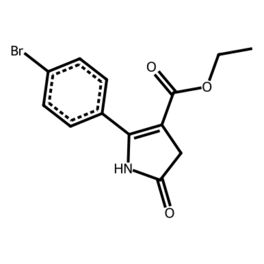 CCOC(=O)C1=C(c2ccc(Br)cc2)NC(=O)C1